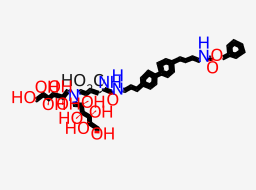 O=C(O)N[C@@H](CCCCN(C[C@H](O)[C@@H](O)[C@H](O)[C@H](O)CO)C[C@H](O)[C@@H](O)[C@H](O)[C@H](O)CO)C(=O)NCCCc1ccc(-c2ccc(CCCCNC(=O)OCc3ccccc3)cc2)cc1